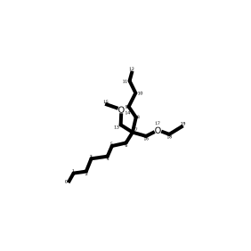 CCCCCCCC(CCCCC)(COC)COCC